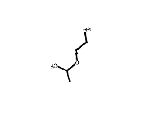 [CH2]C(O)OCCCCC